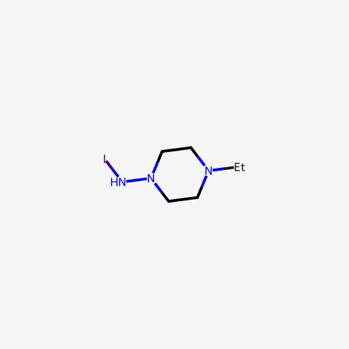 CCN1CCN(NI)CC1